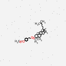 COCOc1ccc(/C=C/OOC2CCC3(C)C(=CCC4C3CCC3(C)C(C(C)CCCC=C(C)C)CCC43)C2(C)C)cc1